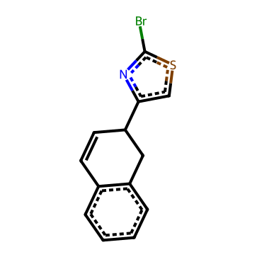 Brc1nc(C2C=Cc3ccccc3C2)cs1